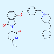 C=C1CCC(N2Cc3c(OCc4ccc(CN5CCC(Cc6ccccc6)CC5)cc4)cccc3C2=O)C(=O)N1